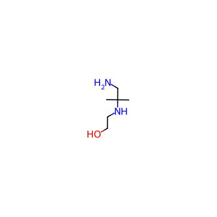 CC(C)(CN)NCCO